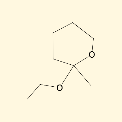 CCOC1(C)CCCCO1